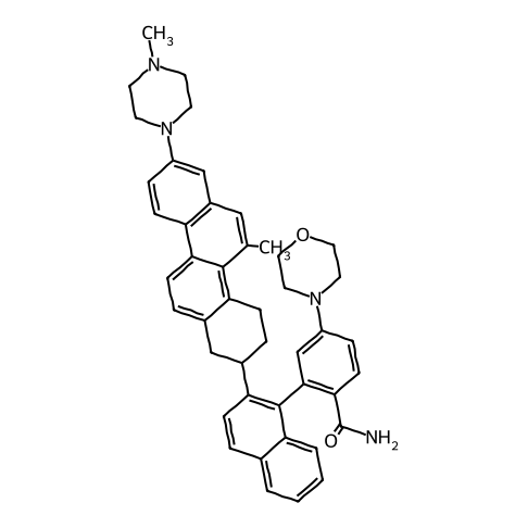 Cc1cc2cc(N3CCN(C)CC3)ccc2c2ccc3c(c12)CCC(c1ccc2ccccc2c1-c1cc(N2CCOCC2)ccc1C(N)=O)C3